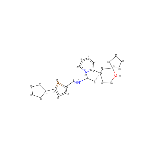 c1ccc([C@]2(CCNCc3ccc(C4CCCC4)s3)CCOC3(CCCC3)C2)nc1